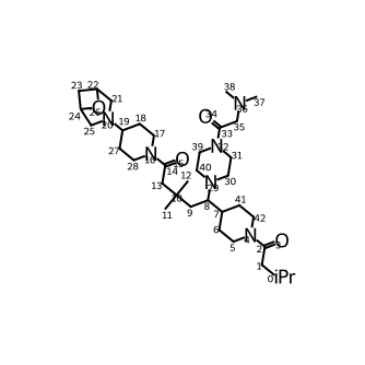 CC(C)CC(=O)N1CCC(C(CC(C)(C)CC(=O)N2CCC(N3CC4CC(C3)O4)CC2)N2CCN(C(=O)CN(C)C)CC2)CC1